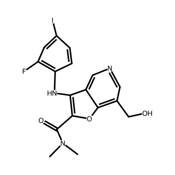 CN(C)C(=O)c1oc2c(CO)cncc2c1Nc1ccc(I)cc1F